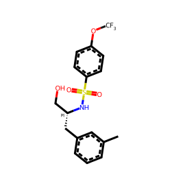 Cc1cccc(C[C@H](CO)NS(=O)(=O)c2ccc(OC(F)(F)F)cc2)c1